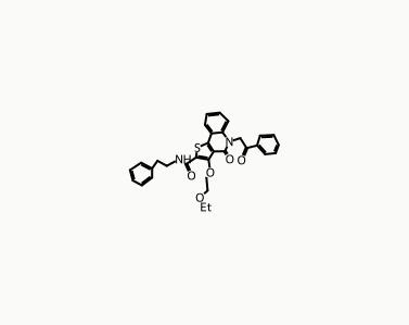 CCOCCOc1c(C(=O)NCCc2ccccc2)sc2c1c(=O)n(CC(=O)c1ccccc1)c1ccccc21